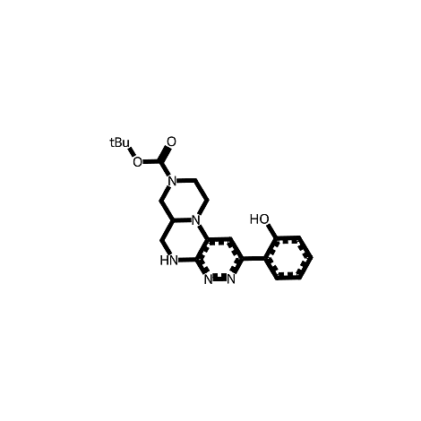 CC(C)(C)OC(=O)N1CCN2c3cc(-c4ccccc4O)nnc3NCC2C1